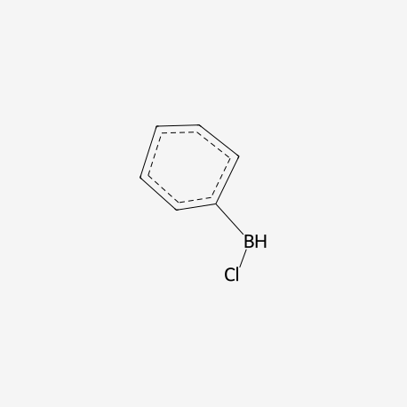 ClBc1ccccc1